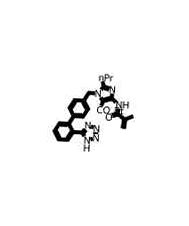 C=C(C)C(=O)Nc1nc(CCC)n(Cc2ccc(-c3ccccc3-c3nnn[nH]3)cc2)c1C(=O)OCC